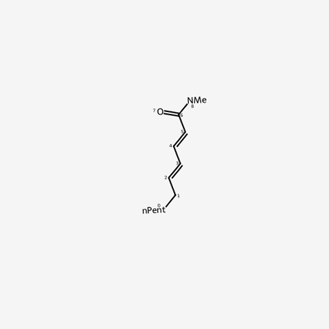 CCCCCC/C=C/C=C/C(=O)NC